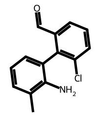 Cc1cccc(-c2c(Cl)cccc2C=O)c1N